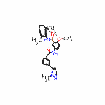 COc1ccc(NC(=O)c2cccc(-c3ccnn3C)c2)cc1[S+]([O-])Nc1c(C)cccc1C